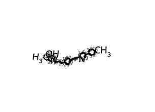 CC1CC=C(c2ccc(C#Cc3ccc(C=CCN4CCC(C)(O)CC4)cc3)nc2)CC1